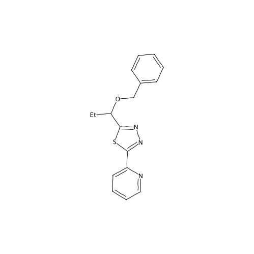 CCC(OCc1ccccc1)c1nnc(-c2ccccn2)s1